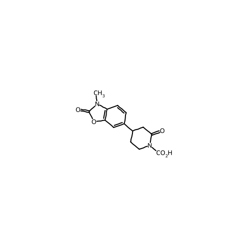 Cn1c(=O)oc2cc(C3CCN(C(=O)O)C(=O)C3)ccc21